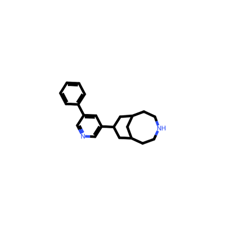 c1ccc(-c2cncc(C3CC4CCNCCC(C4)C3)c2)cc1